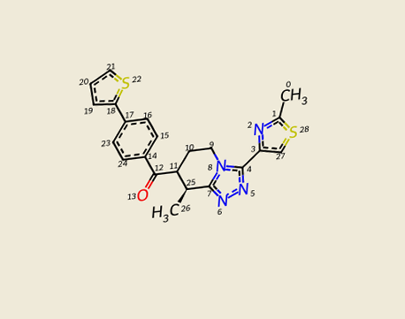 Cc1nc(-c2nnc3n2CCC(C(=O)c2ccc(-c4cccs4)cc2)[C@@H]3C)cs1